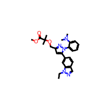 CCn1ncc2ccc(-c3cc(COC(C)(C)C(=O)OC)nn3-c3ccccc3N(C)C)cc21